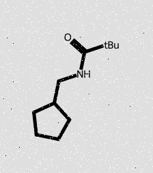 CC(C)(C)C(=O)NCC1CCCC1